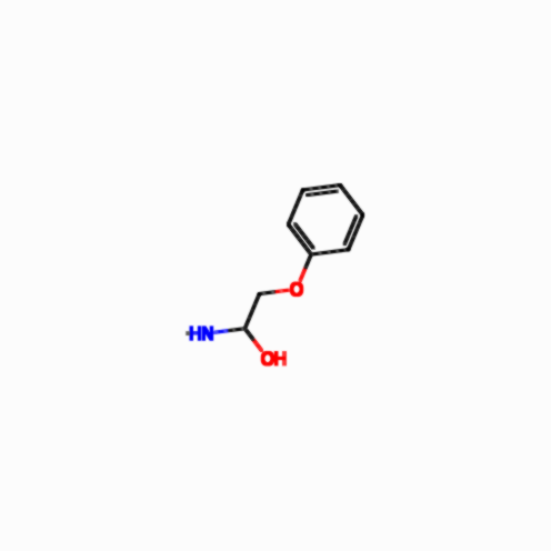 [NH]C(O)COc1ccccc1